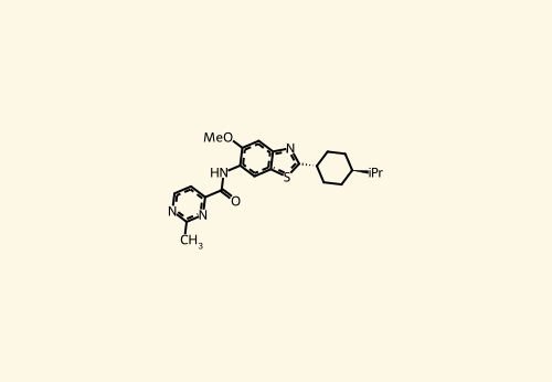 COc1cc2nc([C@H]3CC[C@H](C(C)C)CC3)sc2cc1NC(=O)c1ccnc(C)n1